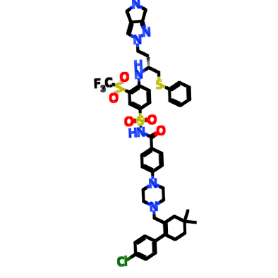 CC1(C)CCC(c2ccc(Cl)cc2)=C(CN2CCN(c3ccc(C(=O)NS(=O)(=O)c4ccc(N[C@H](CCn5cc6c(n5)CNC6)CSc5ccccc5)c(S(=O)(=O)C(F)(F)F)c4)cc3)CC2)C1